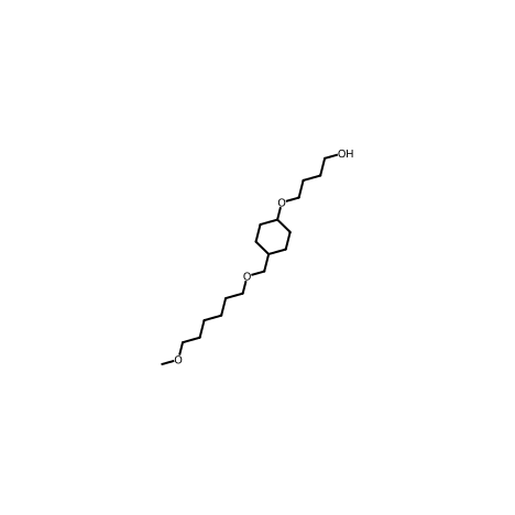 COCCCCCCOCC1CCC(OCCCCO)CC1